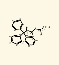 C[C@H](C=O)CC(=O)NC(c1ccccc1)(c1ccccc1)c1ccccc1